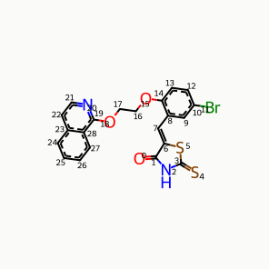 O=C1NC(=S)S/C1=C\c1cc(Br)ccc1OCCOc1nccc2ccccc12